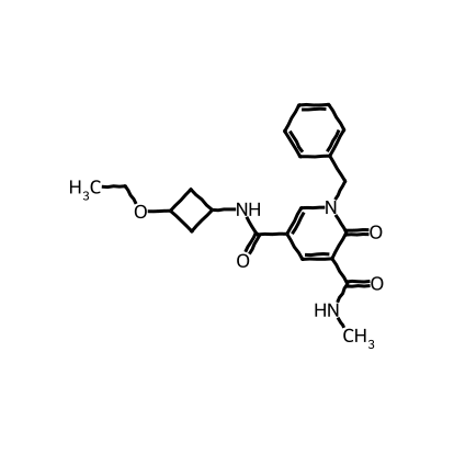 CCOC1CC(NC(=O)c2cc(C(=O)NC)c(=O)n(Cc3ccccc3)c2)C1